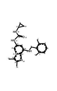 Cc1cccc(C)c1CNc1cc(NC(=O)NC2CC2)cn2c(C)c(C)nc12